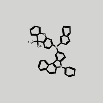 CC1(C)c2ccccc2Oc2cc(N(c3ccc4ccccc4c3)c3ccc4c(c3)c3c5ccccc5ccc3n4-c3ccccc3)ccc21